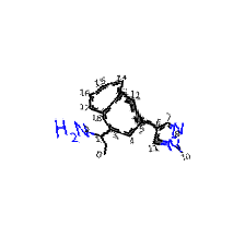 CC(N)c1cc(-c2cnn(C)c2)cc2ccccc12